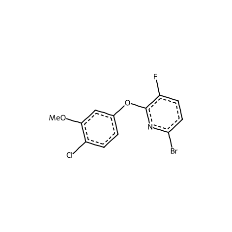 COc1cc(Oc2nc(Br)ccc2F)ccc1Cl